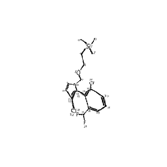 C[Si](C)(C)CCOCn1ccc(Cl)c1-c1c(Cl)cccc1C(F)F